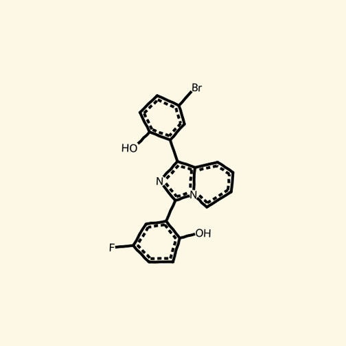 Oc1ccc(Br)cc1-c1nc(-c2cc(F)ccc2O)n2ccccc12